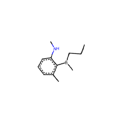 CCCB(C)c1c(C)cccc1NC